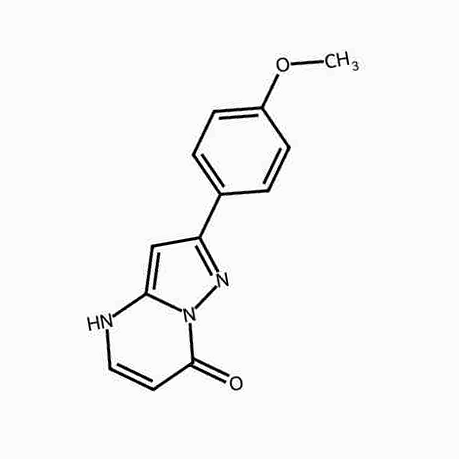 COc1ccc(-c2cc3[nH]ccc(=O)n3n2)cc1